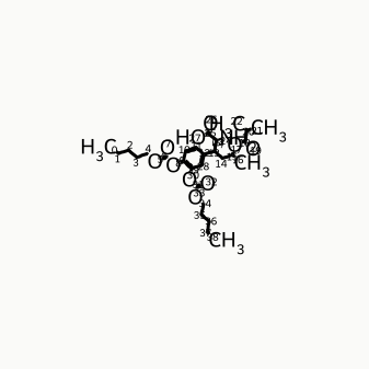 CCCCCOC(=O)Oc1ccc(C(CC(C)OC(=O)C(C)C)[C@H](N)C(=O)O)cc1OC(=O)OCCCCC